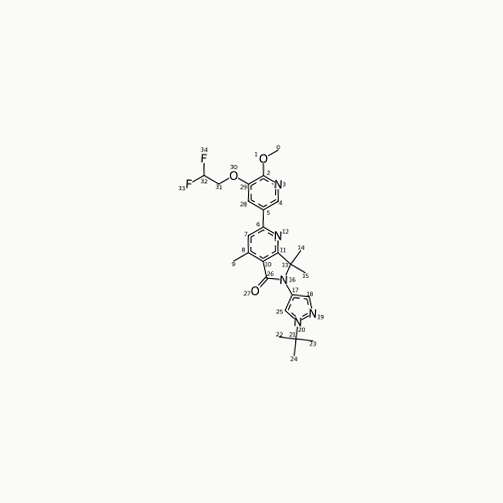 COc1ncc(-c2cc(C)c3c(n2)C(C)(C)N(c2cnn(C(C)(C)C)c2)C3=O)cc1OCC(F)F